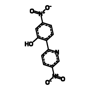 O=[N+]([O-])c1ccc(-c2ccc([N+](=O)[O-])cc2O)nc1